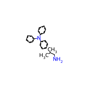 CC(C)CN.c1ccc(N(c2ccccc2)c2ccccc2)cc1